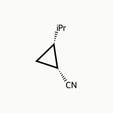 CC(C)[C@H]1C[C@H]1C#N